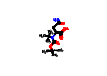 CC(C)(C)OC(=O)N(C(CC(N)=O)C(=O)O)C(C)(C)C